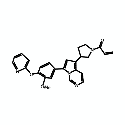 C=CC(=O)N1CCC(c2cc(-c3ccc(Oc4ccccn4)c(OC)c3)n3cnccc23)C1